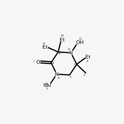 CCC1(C)CN(C(C)(C)C)C(=O)C(CC)(CC)N1O